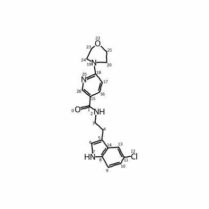 O=C(NCCc1c[nH]c2ccc(Cl)cc12)c1ccc(N2CCOCC2)nc1